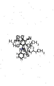 CCCCN(CCCC)S(=O)(=O)c1ccccc1/N=N/c1c(C)c(C#N)c(=O)n(N(C)C)c1O